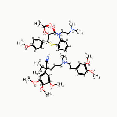 COc1ccc(CCN(C)CCCC(C#N)(c2cc(OC)c(OC)c(OC)c2)C(C)C)cc1OC.COc1ccc([C@@H]2Sc3ccccc3N(CCN(C)C)C(=O)[C@@H]2OC(C)=O)cc1